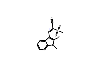 Cn1c(Cl)c(/C=C(/C#N)S(C)(=O)=O)c2ccccc21